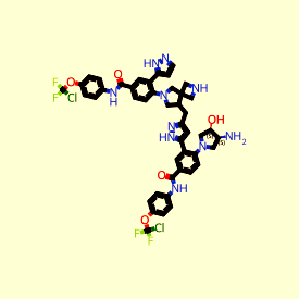 N[C@H]1CN(c2ccc(C(=O)Nc3ccc(OC(F)(F)Cl)cc3)cc2-c2cc(CC3CN(c4ccc(C(=O)Nc5ccc(OC(F)(F)Cl)cc5)cc4-c4ccn[nH]4)CC34CNC4)n[nH]2)C[C@@H]1O